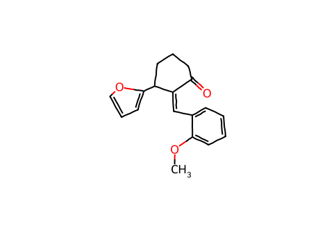 COc1ccccc1/C=C1\C(=O)CCCC1c1ccco1